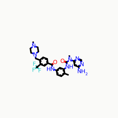 Cc1ccc(NC(=O)c2ccc(CN3CCN(C)CC3)c(C(F)(F)F)c2)cc1NC(=O)N(C)c1cc(N)ncn1